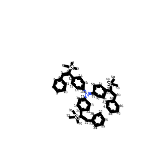 C[Si](C)(C)/C(=C/c1ccccc1)c1ccc(N(c2ccc(/C(=C\c3ccccc3)[Si](C)(C)C)cc2)c2ccc(/C(=C\c3ccccc3)[Si](C)(C)C)cc2)cc1